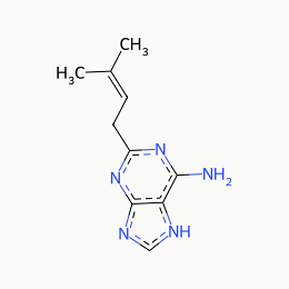 CC(C)=CCc1nc(N)c2[nH]cnc2n1